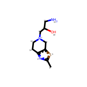 Cc1nc2c(s1)CN(CC(O)CN)CC2